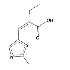 CCC(=Cc1cnc(C)s1)C(=O)O